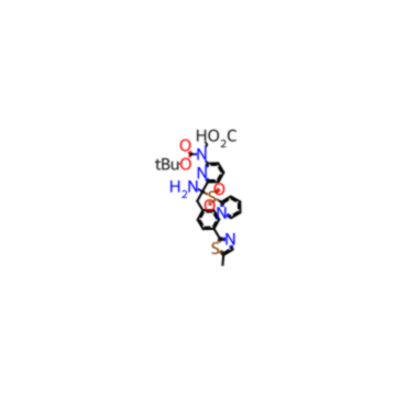 Cc1cnc(-c2ccc(CC(N)(c3cccc(N(CC(=O)O)C(=O)OC(C)(C)C)n3)S(=O)(=O)c3ccccn3)cc2)s1